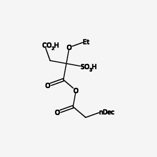 CCCCCCCCCCCC(=O)OC(=O)C(CC(=O)O)(OCC)S(=O)(=O)O